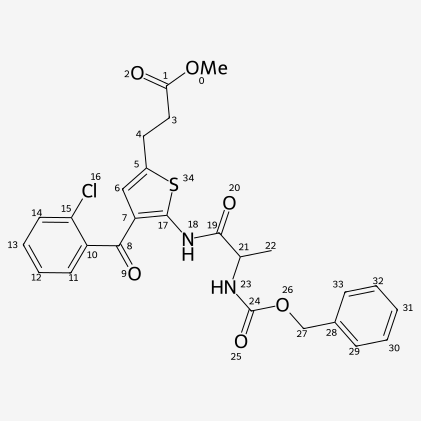 COC(=O)CCc1cc(C(=O)c2ccccc2Cl)c(NC(=O)C(C)NC(=O)OCc2ccccc2)s1